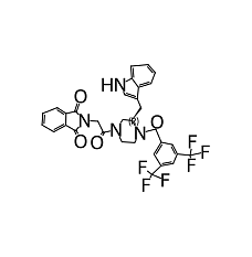 O=C(CN1C(=O)c2ccccc2C1=O)N1CCN(C(=O)c2cc(C(F)(F)F)cc(C(F)(F)F)c2)[C@H](Cc2c[nH]c3ccccc23)C1